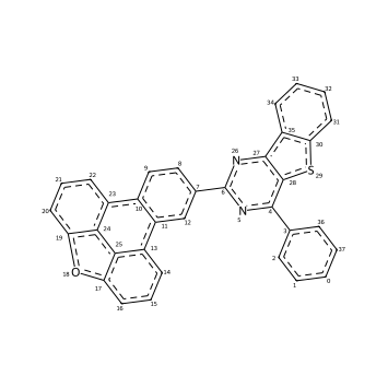 c1ccc(-c2nc(-c3ccc4c(c3)c3cccc5oc6cccc4c6c53)nc3c2sc2ccccc23)cc1